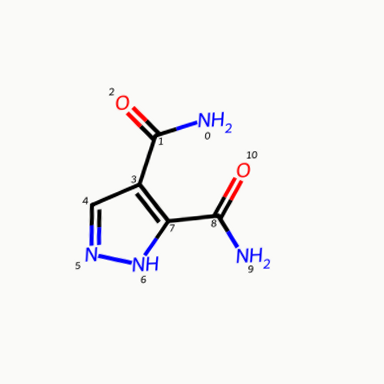 NC(=O)c1cn[nH]c1C(N)=O